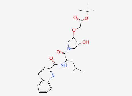 CC(C)C[C@H](NC(=O)c1ccc2ccccc2n1)C(=O)N1CC(O)C(OCC(=O)OC(C)(C)C)C1